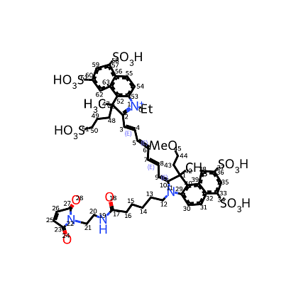 CC[N+]1=C(/C=C/C=C/C=C/C=C2/N(CCCCCC(=O)NCCN3C(=O)C=CC3=O)c3ccc4c(S(=O)(=O)O)cc(S(=O)(=O)O)cc4c3C2(C)CCOC)C(C)(CCCS(=O)(=O)O)c2c1ccc1c(S(=O)(=O)O)cc(S(=O)(=O)O)cc21